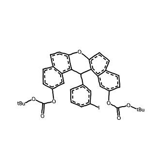 CC(C)(C)OC(=O)Oc1ccc2ccc3c(c2c1)C(c1cccc(I)c1)c1c(ccc2ccc(OC(=O)OC(C)(C)C)cc12)O3